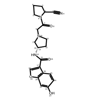 N#CC1CCCN1C(=O)CN1CC[C@H](NC(=O)c2coc3cc(O)ccc23)C1